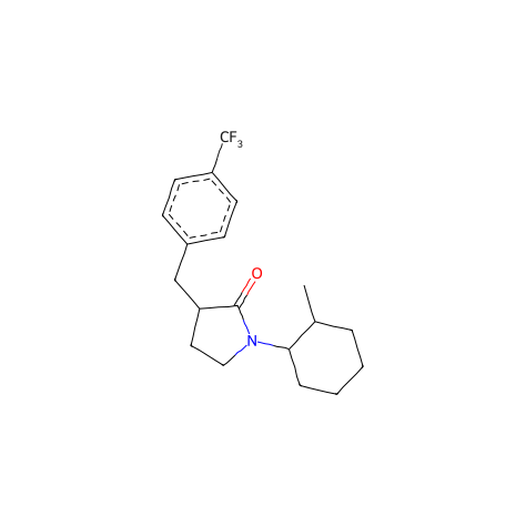 CC1CCCCC1N1CCC(Cc2ccc(C(F)(F)F)cc2)C1=O